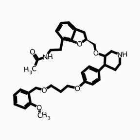 COc1ccccc1COCCCOc1ccc(C2CCNCC2OC[C@@H]2Cc3cccc(CCNC(C)=O)c3O2)cc1